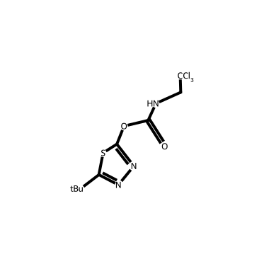 CC(C)(C)c1nnc(OC(=O)NCC(Cl)(Cl)Cl)s1